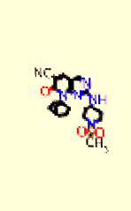 CS(=O)(=O)N1CCC(Nc2ncc3cc(C#N)c(=O)n(C45CCC(CC4)C5)c3n2)CC1